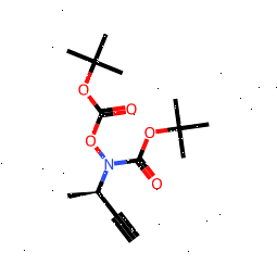 C#C[C@@H](C)N(OC(=O)OC(C)(C)C)C(=O)OC(C)(C)C